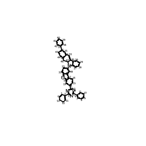 C1=CC(c2nc(-c3ccccc3)nc(-c3ccc4c(c3)oc3ccc(N5c6ccccc6C6=Cc7cc(-c8ccccc8)ccc7CC65)cc34)n2)=CCC1